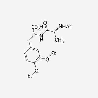 CCOc1ccc(CC(NC(=O)[C@H](C)NC(C)=O)C(=O)O)cc1OCC